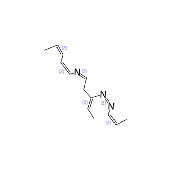 C\C=C/C=C\N=C/CC(=C/C)/N=N\C=C/C